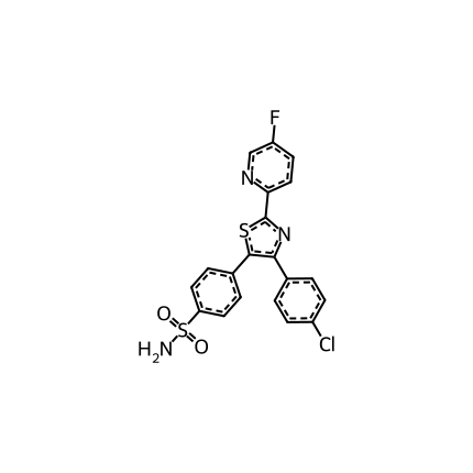 NS(=O)(=O)c1ccc(-c2sc(-c3ccc(F)cn3)nc2-c2ccc(Cl)cc2)cc1